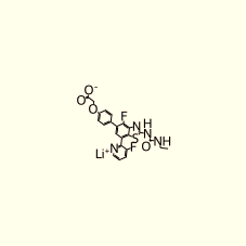 CCNC(=O)Nc1nc2c(F)c(-c3ccc(OCC(=O)[O-])cc3)cc(-c3ncccc3F)c2s1.[Li+]